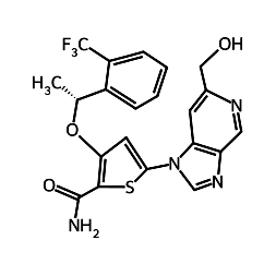 C[C@@H](Oc1cc(-n2cnc3cnc(CO)cc32)sc1C(N)=O)c1ccccc1C(F)(F)F